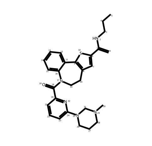 C=C(NCCC)c1cc2c(s1)-c1ccccc1N(C(=O)c1cccc(N3CCCN(C)C3)n1)CC2